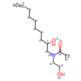 CCCCCCCCCCCCCCCCC(O)CN(CCO)C(=O)CC